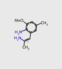 COc1cc(C)cc(/C=C(/C)N)c1N